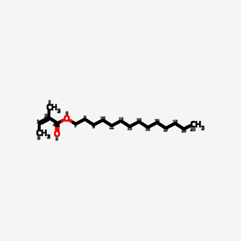 CC=C(C)C(=O)OCCCCCCCCCCCCCC